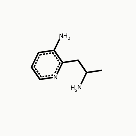 CC(N)Cc1ncccc1N